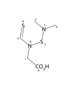 CN(C)SN(C=S)CC(=O)O